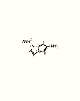 COn1ccn2cc(N)cc12